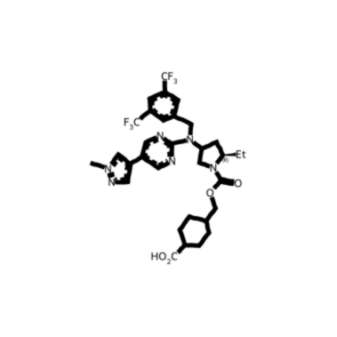 CC[C@@H]1CC(N(Cc2cc(C(F)(F)F)cc(C(F)(F)F)c2)c2ncc(-c3cnn(C)c3)cn2)CN1C(=O)OCC1CCC(C(=O)O)CC1